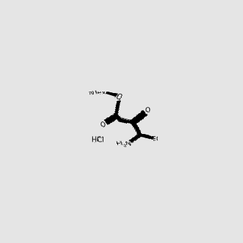 CCCCCCOC(=O)C(=O)C(N)CC.Cl